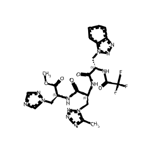 COC(=O)[C@H](Cn1cncn1)NC(=O)[C@H](Cn1nnnc1C)NC(=O)[C@H](Cn1nnc2ccccc21)NC(=O)C(F)(F)F